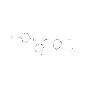 COc1cc2c(cc1O)C=Nc1c(Nc3ccc(Br)c(C)c3)ncnc1O2